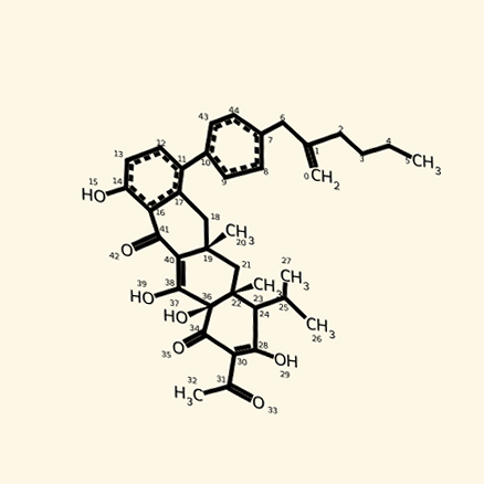 C=C(CCCC)Cc1ccc(-c2ccc(O)c3c2C[C@]2(C)C[C@]4(C)C(C(C)C)C(O)=C(C(C)=O)C(=O)[C@]4(O)C(O)=C2C3=O)cc1